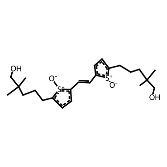 CC(C)(CO)CCCc1ccc(C=Cc2ccc(CCCC(C)(C)CO)[s+]2[O-])[s+]1[O-]